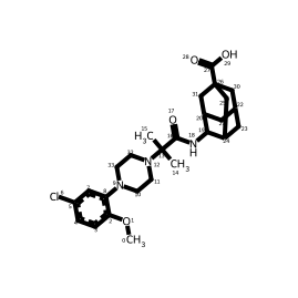 COc1ccc(Cl)cc1N1CCN(C(C)(C)C(=O)NC2C3CC4CC2CC(C(=O)O)(C4)C3)CC1